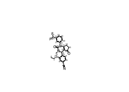 CCSc1cc(C#N)ccc1C1C2=C(CCC2=O)N(c2cccc(C(F)F)c2)C(=O)N1C